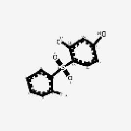 O=S(=O)(c1ccccc1F)c1ccc(Cl)cc1Cl